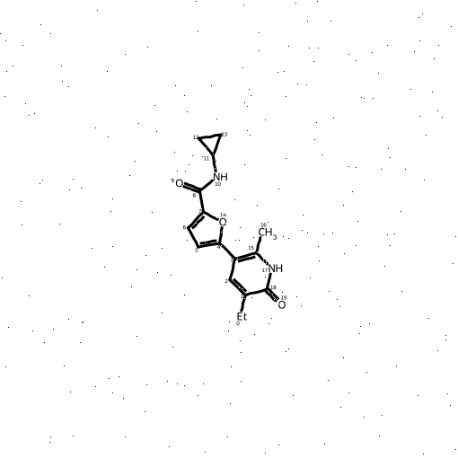 CCc1cc(-c2ccc(C(=O)NC3CC3)o2)c(C)[nH]c1=O